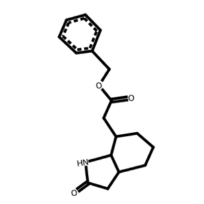 O=C1CC2CCCC(CC(=O)OCc3ccccc3)C2N1